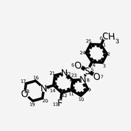 Cc1ccc(S(=O)(=O)n2ccc3c(F)c(N4CCOCC4)cnc32)cc1